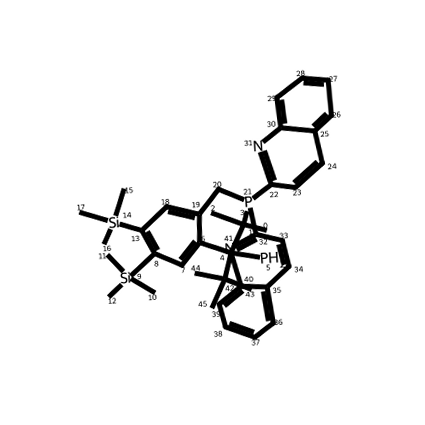 CC(C)(C)C(P)(c1cc([Si](C)(C)C)c([Si](C)(C)C)cc1CP(c1ccc2ccccc2n1)c1ccc2ccccc2n1)C(C)(C)C